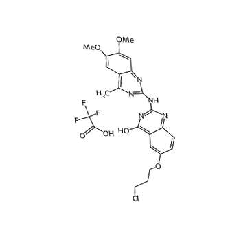 COc1cc2nc(Nc3nc(O)c4cc(OCCCCl)ccc4n3)nc(C)c2cc1OC.O=C(O)C(F)(F)F